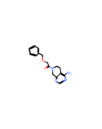 Nc1ncnc2c1CCN(C(=O)COCc1ccccc1)C2